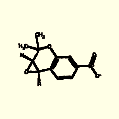 CC1(C)Oc2cc([N+](=O)[O-])ccc2[C@@H]2O[C@@H]21